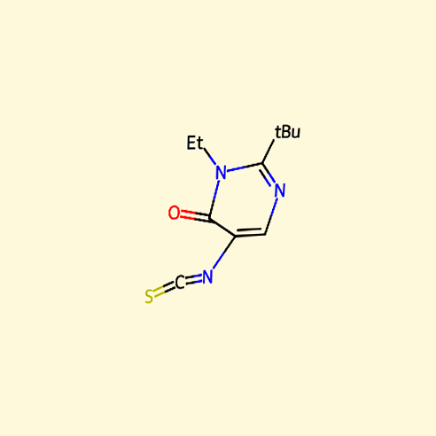 CCn1c(C(C)(C)C)ncc(N=C=S)c1=O